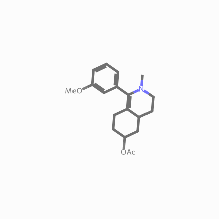 COc1cccc(C2=C3CCC(OC(C)=O)CC3CCN2C)c1